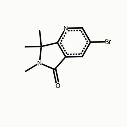 CN1C(=O)c2cc(Br)cnc2C1(C)C